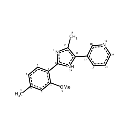 COc1cc(C)ccc1-c1nc(C)c(-c2cccnc2)[nH]1